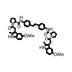 COc1ccc2[nH]c(C)c(CC(=O)N3CCC[C@H]3C(=O)Nc3ccc(/C=C/c4ccc(NC(=O)[C@@H]5CCCN5C(=O)Cc5c(C)[nH]c6ccc(OC)cc56)cc4)cc3)c2c1